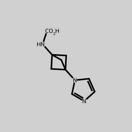 O=C(O)NC12CC(n3ccnc3)(C1)C2